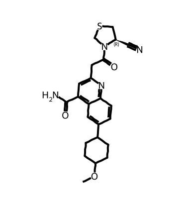 COC1CCC(c2ccc3nc(CC(=O)N4CSC[C@H]4C#N)cc(C(N)=O)c3c2)CC1